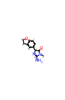 CN1C(=O)C(c2ccc3c(c2)CCO3)N=C1N